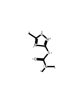 Cc1nc(SC(=O)N(C)C)ns1